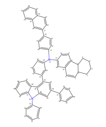 C1=CC2CCCCC2c2ccc(N(c3ccc(-c4ccc5ccccc5c4)cc3)c3cccc(-c4cc(-c5ccccc5)cc5c4c4ccccc4n5-c4ccccc4)c3)cc21